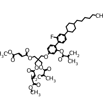 C=C(C)C(=O)OCC(COC(=O)/C=C/C(=O)OC)(COC(=O)/C=C/C(=O)OC)COc1ccc(-c2ccc(C3CCC(CCCCCC)CC3)cc2F)c(OC(=O)C(=C)C)c1